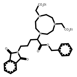 CCOC(=O)CN1CCN(CC(=O)OCC)CCN(C(CCCN2C(=O)c3ccccc3C2=O)C(=O)OCc2ccccc2)CC1